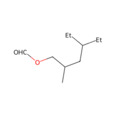 CCC(CC)CC(C)COC=O